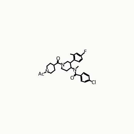 CC(=O)N1CCC(C(=O)N2CCC(N(C)C(=O)c3ccc(Cl)cc3)C(c3ccc(F)cc3C)C2)CC1